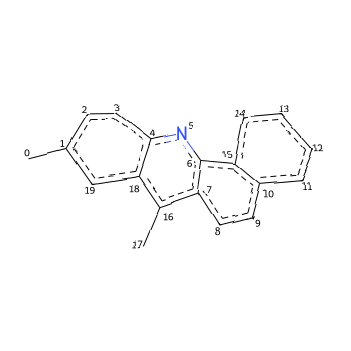 Cc1ccc2nc3c(ccc4ccccc43)c(C)c2c1